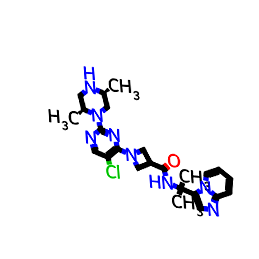 C[C@H]1CN(c2ncc(Cl)c(N3CC(C(=O)NC(C)(C)c4cnc5ccccn45)C3)n2)[C@@H](C)CN1